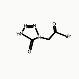 CC(C)C(=O)Cn1nn[nH]c1=O